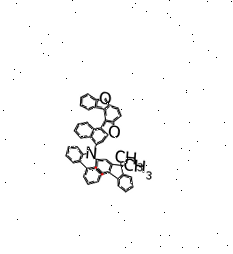 CC1(C)c2ccccc2-c2ccc(N(c3ccccc3-c3ccccc3)c3cc4oc5ccc6oc7ccccc7c6c5c4c4ccccc34)cc21